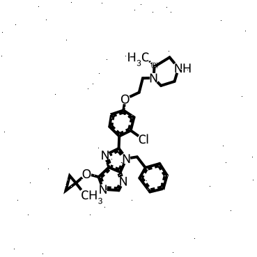 C[C@@H]1CNCCN1CCOc1ccc(-c2nc3c(OC4(C)CC4)ncnc3n2Cc2ccccc2)c(Cl)c1